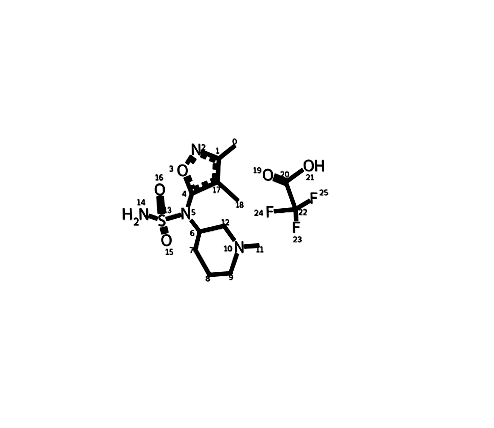 Cc1noc(N(C2CCCN(C)C2)S(N)(=O)=O)c1C.O=C(O)C(F)(F)F